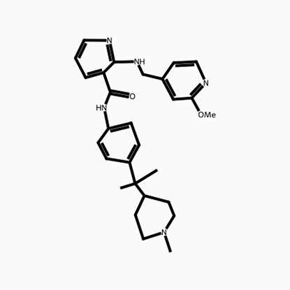 COc1cc(CNc2ncccc2C(=O)Nc2ccc(C(C)(C)C3CCN(C)CC3)cc2)ccn1